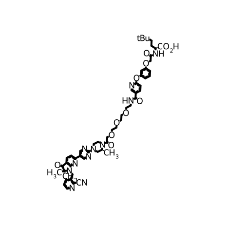 C[C@@H]1CN(c2ncc(-c3ccc4c(n3)N(Cc3cccnc3C#N)C(C)(C)C4=O)cn2)CCN1C(=O)COCCOCCOCCNC(=O)c1ccc(Oc2cccc(OCC(=O)N[C@@H](CCC(C)(C)C)C(=O)O)c2)nc1